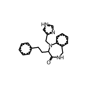 O=C1NCc2ccccc2N(Cc2c[nH]cn2)C1CCc1ccccc1